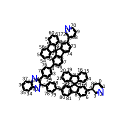 C1=CN=CC(c2ccc3c(c2)C2(c4ccccc4-c4ccccc42)c2cc(-c4ccc(-c5nc6ccccc6nc5-c5ccc(-c6ccc7c(c6)C6(c8ccccc8-c8ccccc86)c6cc(-c8cccnc8)ccc6-7)cc5)cc4)ccc2-3)C1